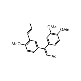 CC=Cc1cc(C(=CC(C)=O)c2ccc(OC)c(OC)c2)ccc1OC